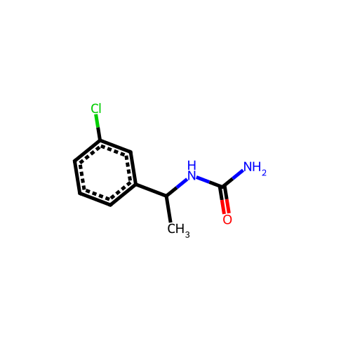 CC(NC(N)=O)c1cccc(Cl)c1